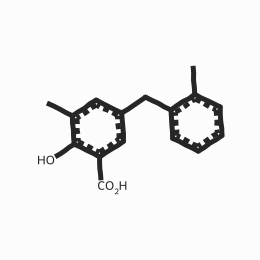 Cc1ccccc1Cc1cc(C)c(O)c(C(=O)O)c1